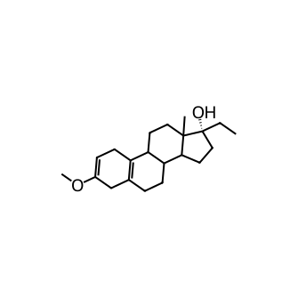 CC[C@@]1(O)CCC2C3CCC4=C(CC=C(OC)C4)C3CCC21C